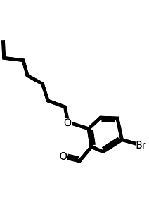 CCCCCCCOc1ccc(Br)cc1C=O